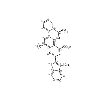 Cc1c(-c2cc(C(=O)O)c3c(O[C@H](C)c4ccccc4)ccc(C)c3n2)sc2ccccc12